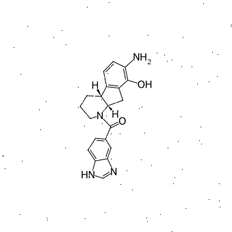 Nc1ccc2c(c1O)C[C@H]1[C@@H]2CCCN1C(=O)c1ccc2[nH]cnc2c1